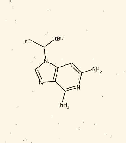 CCCC(n1cnc2c(N)nc(N)cc21)C(C)(C)C